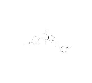 NC1CCC(CNc2nc(NCc3cc[nH]c(=O)c3)ncc2[N+](=O)[O-])CC1